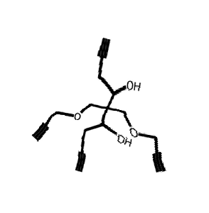 C#CCOCC(COCC#C)(C(O)CC#C)C(O)CC#C